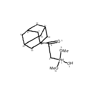 CO[PH](O)(CC(=O)C12CC3CC(CC(C3)C1)C2)OC